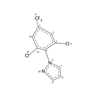 FC(F)(F)c1cc(Cl)c(-n2cccn2)c(Cl)c1